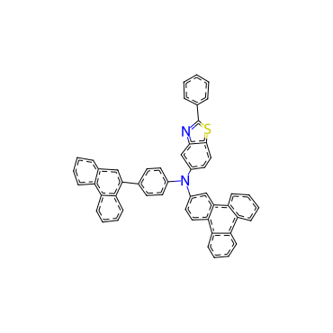 c1ccc(-c2nc3cc(N(c4ccc(-c5cc6ccccc6c6ccccc56)cc4)c4ccc5c6ccccc6c6ccccc6c5c4)ccc3s2)cc1